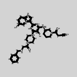 N#CCC(=O)N1CCC[C@@H](Nc2nc(-c3cnc4ccc(F)cn34)nc(N3CCN(C(=O)COCc4ccccc4)CC3)c2F)C1